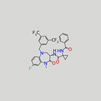 CN1C(=O)[C@H](NC(=O)C2(NC(=O)c3ccccc3)CC2)CN(Cc2cc(C(F)(F)F)cc(C(F)(F)F)c2)c2ccc(F)cc21